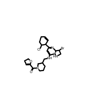 O=C(C1=CCCO1)N1CCCC(CNC2=CC(C3C=CCCC3Cl)=NC3C(Br)CNN23)C1